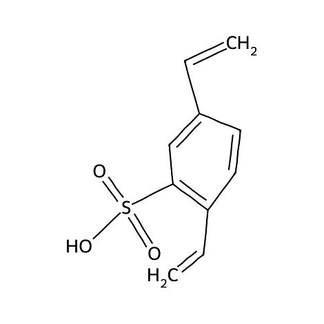 C=Cc1ccc(C=C)c(S(=O)(=O)O)c1